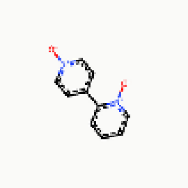 [O-][n+]1ccc(-c2cccc[n+]2[O-])cc1